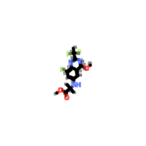 COC(=O)C(C)(C)Nc1cc(F)c2nc(C(C)(F)F)nc(OC)c2c1